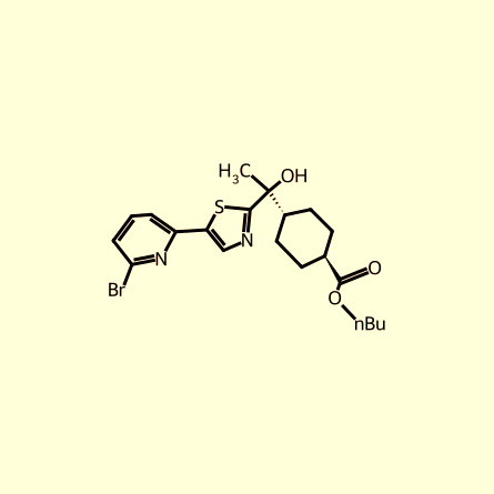 CCCCOC(=O)[C@H]1CC[C@H](C(C)(O)c2ncc(-c3cccc(Br)n3)s2)CC1